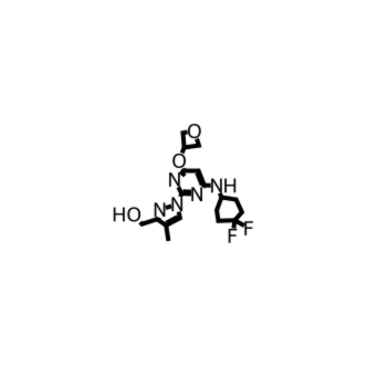 Cc1cn(-c2nc(NC3CCC(F)(F)CC3)cc(OC3COC3)n2)nc1CO